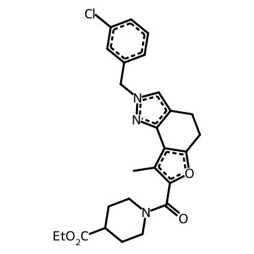 CCOC(=O)C1CCN(C(=O)c2oc3c(c2C)-c2nn(Cc4cccc(Cl)c4)cc2CC3)CC1